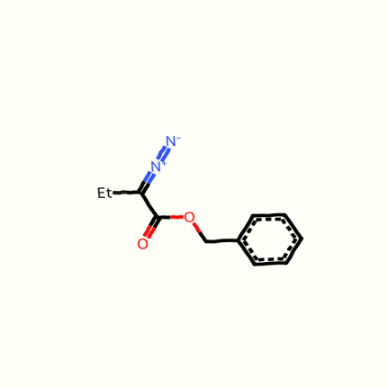 CCC(=[N+]=[N-])C(=O)OCc1ccccc1